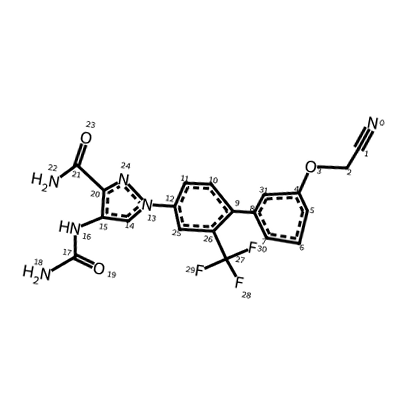 N#CCOc1cccc(-c2ccc(-n3cc(NC(N)=O)c(C(N)=O)n3)cc2C(F)(F)F)c1